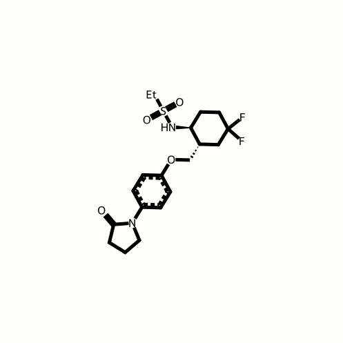 CCS(=O)(=O)N[C@H]1CCC(F)(F)C[C@@H]1COc1ccc(N2CCCC2=O)cc1